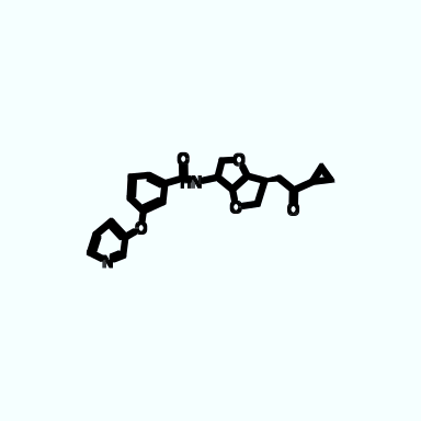 O=C(NC1COC2C1OC[C@@H]2CC(=O)C1CC1)c1cccc(Oc2cccnc2)c1